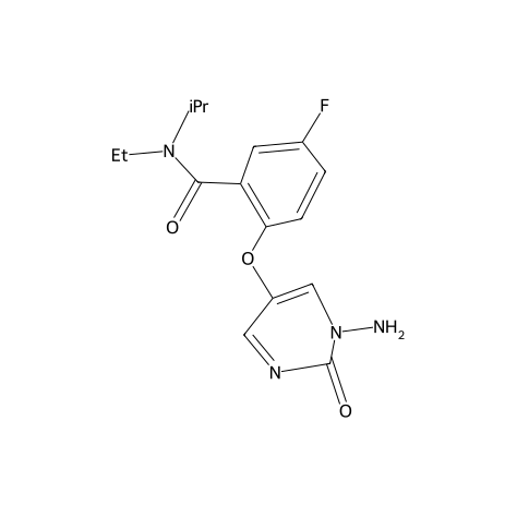 CCN(C(=O)c1cc(F)ccc1Oc1cnc(=O)n(N)c1)C(C)C